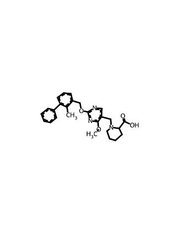 COc1nc(OCc2cccc(-c3ccccc3)c2C)ncc1CN1CCCCC1C(=O)O